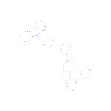 c1cc(-c2cc3oc4cccc5c6ccccc6c(c2)c3c45)cc(-c2ccc3c(c2)c2cccc4c5ccccc5n3c42)c1